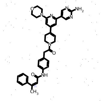 C/C(=C/C(=O)Nc1ccc(CC(=O)N2CC=C(c3cc(-c4cnc(N)nc4)nc(N4CCOCC4)c3)CC2)cc1)c1ccccc1